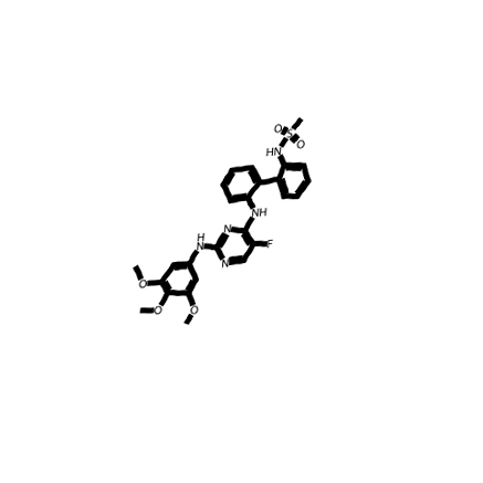 COc1cc(Nc2ncc(F)c(Nc3ccccc3-c3ccccc3NS(C)(=O)=O)n2)cc(OC)c1OC